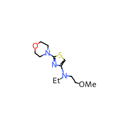 CCN(CCOC)c1csc(N2CCOCC2)n1